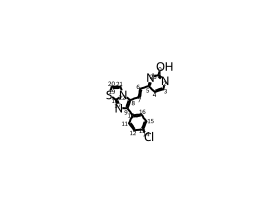 Oc1nccc(C=Cc2c(-c3ccc(Cl)cc3)nc3sccn23)n1